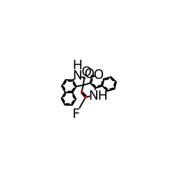 O=C1Nc2ccc3ccccc3c2C12c1ccc(F)cc1Nc1c2c(=O)oc2ccccc12